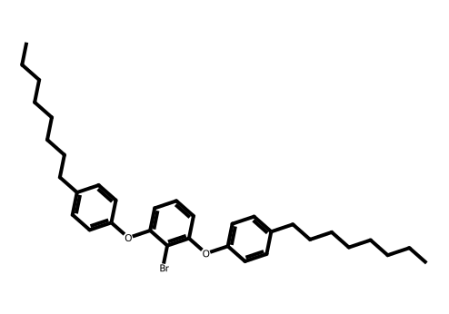 CCCCCCCCc1ccc(Oc2cccc(Oc3ccc(CCCCCCCC)cc3)c2Br)cc1